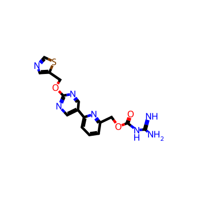 N=C(N)NC(=O)OCc1cccc(-c2cnc(OCc3cncs3)nc2)n1